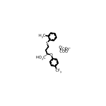 Cc1ccccc1SCC[C@H](Oc1ccc(C(F)(F)F)cc1)C(=O)O.O=C([O-])[O-].[Cs+].[Cs+]